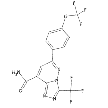 NC(=O)c1cc(-c2ccc(OC(F)(F)F)cc2)nn2c(C(F)(F)F)nnc12